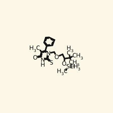 Cc1c(-c2ccccc2)n(COCC(O[SiH](C)C)C(C)(C)C)c(=S)[nH]c1=O